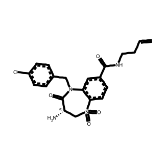 C=CCCNC(=O)c1ccc2c(c1)N(Cc1ccc(Cl)cc1)C(=O)[C@@H](N)CS2(=O)=O